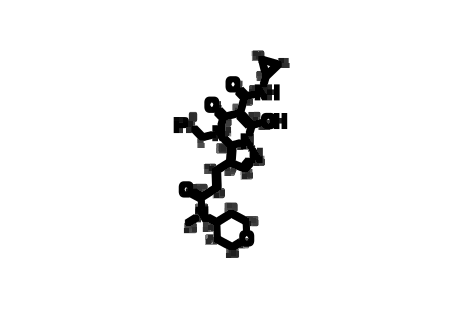 CC(C)Cn1c(=O)c(C(=O)NC2CC2)c(O)n2ncc(/C=C/C(=O)N(C)C3CCOCC3)c12